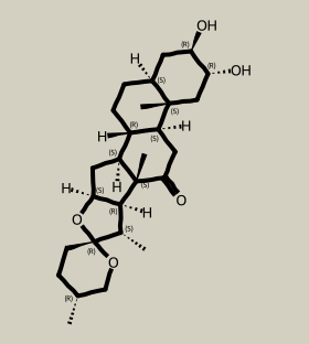 C[C@@H]1CC[C@@]2(OC1)O[C@H]1C[C@H]3[C@@H]4CC[C@H]5C[C@@H](O)[C@H](O)C[C@]5(C)[C@H]4CC(=O)[C@]3(C)[C@H]1[C@@H]2C